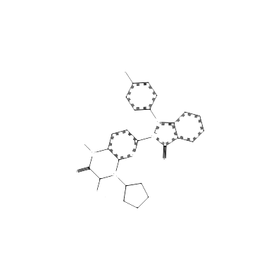 CCN1C(=O)C(C)N(C2CCCC2)c2nc(-n3c(=O)c4ccccc4n3-c3ccc(Cl)cc3)ccc21